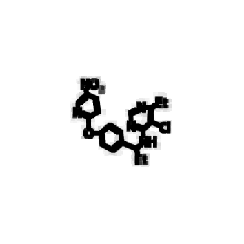 CCc1ncnc(NC(CC)c2ccc(Oc3ccc([N+](=O)[O-])cn3)cc2)c1Cl